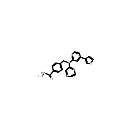 O=C(NO)c1ccc(CN(c2cnccn2)c2cc(-c3ccoc3)ccn2)cc1